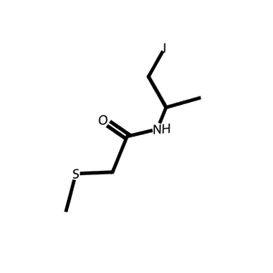 CSCC(=O)NC(C)CI